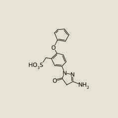 NC1=NN(c2ccc(Oc3ccccc3)c(CS(=O)(=O)O)c2)C(=O)C1